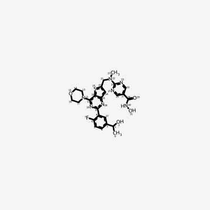 CC(O)c1ccc(F)c(-c2nc(N3CCOCC3)c3sc(CN(C)c4ncc(C(=O)NO)cn4)cc3n2)c1